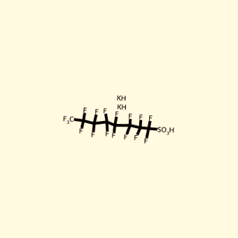 O=S(=O)(O)C(F)(F)C(F)(F)C(F)(F)C(F)(F)C(F)(F)C(F)(F)C(F)(F)C(F)(F)F.[KH].[KH]